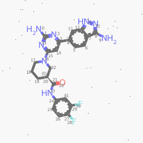 Nc1nc(-c2ccc3c(N)n[nH]c3c2)cc(N2CCC[C@H](C(=O)Nc3ccc(F)c(F)c3)C2)n1